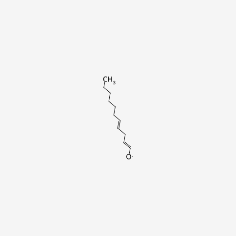 CCCCCC/C=C/C/C=C/[O]